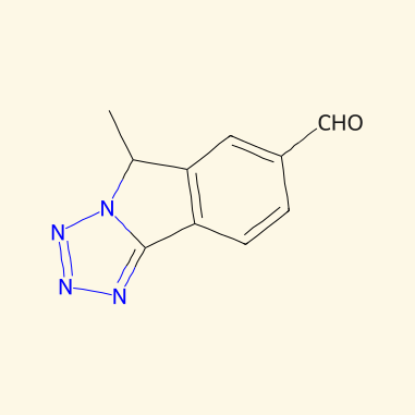 CC1c2cc(C=O)ccc2-c2nnnn21